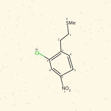 CSCCc1ccc([N+](=O)[O-])cc1Cl